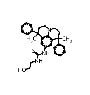 CC1(c2ccccc2)CCN2CCC(C)(c3ccccc3)c3cc(NC(=S)NCCO)cc1c32